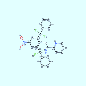 N=C(Cc1c(C(F)(F)c2ccccc2)cc([N+](=O)[O-])cc1C(F)(F)c1ccccc1)c1ccccn1